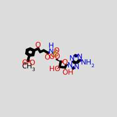 COC(=O)c1cccc(C(=O)CCC(=O)NS(=O)(=O)OC[C@H]2O[C@@H](n3cnc4c(N)ncnc43)[C@H](O)[C@@H]2O)c1